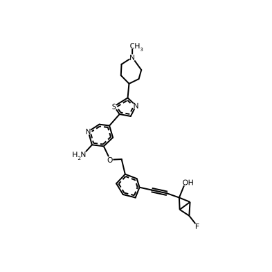 CN1CCC(c2ncc(-c3cnc(N)c(OCc4cccc(C#CC5(O)C6C(F)C65)c4)c3)s2)CC1